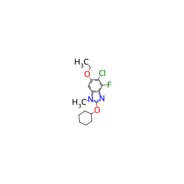 CCOc1cc2c(nc(OC3CCCCC3)n2C)c(F)c1Cl